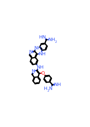 N=C(N)c1ccc(Nc2c(N)ncc3ccc(Nc4ncc5ccccc5c4Oc4ccc(C(=N)N)cc4)cc23)cc1